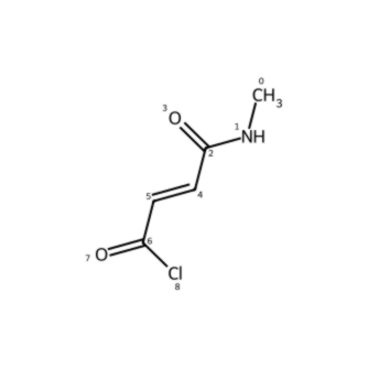 CNC(=O)/C=C/C(=O)Cl